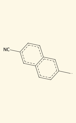 [CH2]c1ccc2cc(C#N)ccc2c1